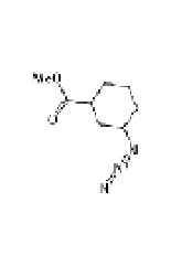 COC(=O)C1CCCC(N=[N+]=[N-])C1